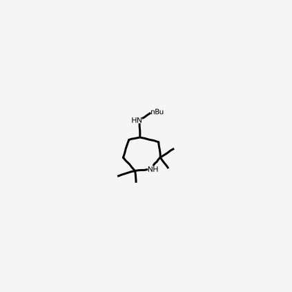 CCCCNC1CCC(C)(C)NC(C)(C)C1